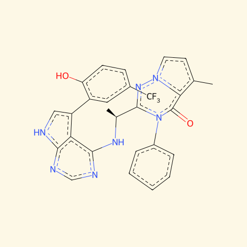 Cc1ccn2nc([C@H](C)Nc3ncnc4[nH]cc(-c5cc(C(F)(F)F)ccc5O)c34)n(-c3ccccc3)c(=O)c12